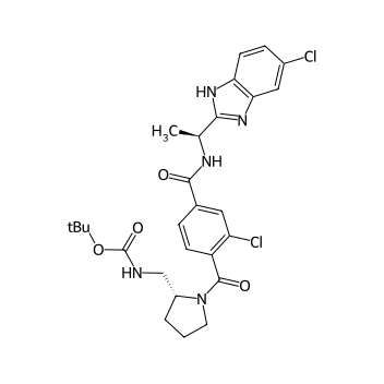 C[C@H](NC(=O)c1ccc(C(=O)N2CCC[C@@H]2CNC(=O)OC(C)(C)C)c(Cl)c1)c1nc2cc(Cl)ccc2[nH]1